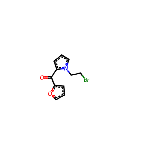 O=C(c1ccco1)c1cccn1CCBr